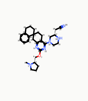 CN1CCC[C@H]1COc1nc2c(c(N3CCN[C@@H](CC#N)C3)n1)CCC1(CCCc3ccccc31)C2